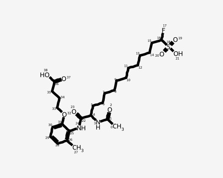 CC(=O)NC(CCCCCCCCCCCC(F)S(=O)(=O)O)C(=O)Nc1c(C)cccc1OCCCC(=O)O